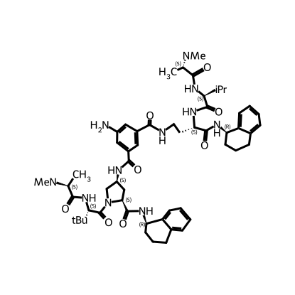 CN[C@@H](C)C(=O)N[C@H](C(=O)N[C@@H](CCNC(=O)c1cc(N)cc(C(=O)N[C@H]2C[C@@H](C(=O)N[C@@H]3CCCc4ccccc43)N(C(=O)[C@@H](NC(=O)[C@H](C)NC)C(C)(C)C)C2)c1)C(=O)N[C@@H]1CCCc2ccccc21)C(C)C